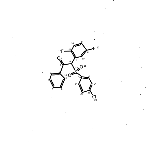 O=C(c1ccccc1)C(c1cc(F)ccc1F)S(=O)(=O)c1ccc(Cl)cc1